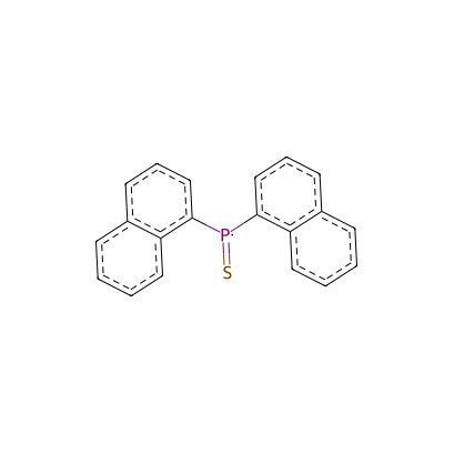 S=[P](c1cccc2ccccc12)c1cccc2ccccc12